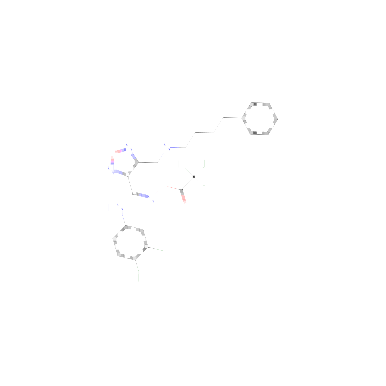 O=C(ON=C(Nc1ccc(F)c(Cl)c1)c1nonc1CNCCCCc1ccccc1)C(F)(F)F